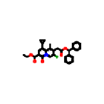 CCOC(=O)c1cc(C2CC2)c2c(C)c(CC(=O)OC(c3ccccc3)c3ccccc3)c(F)cn2c1=O